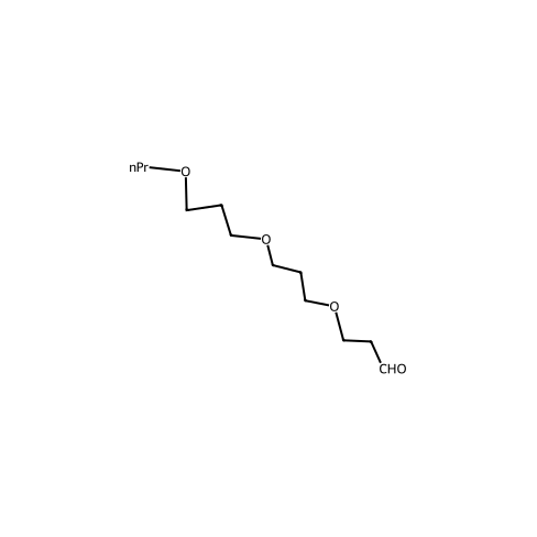 [CH2]CCOCCCOCCCOCCC=O